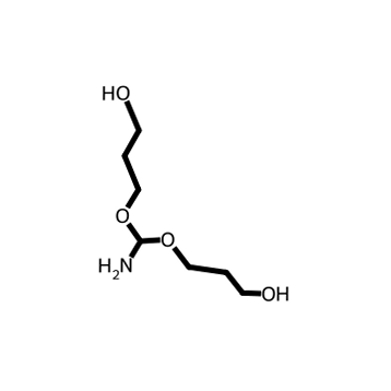 NC(OCCCO)OCCCO